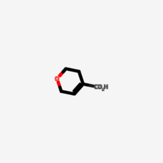 O=C(O)C1=CCOCC1